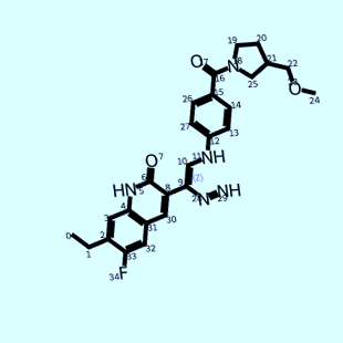 CCc1cc2[nH]c(=O)c(/C(=C/Nc3ccc(C(=O)N4CCC(COC)C4)cc3)N=N)cc2cc1F